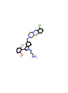 COc1cccc(Cl)c1-c1cn(CCCN)c2ccc(CN3CCN(Cc4c(Cl)cccc4Cl)CC3)cc12